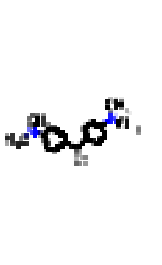 CCC(c1ccc(N(C)C)cc1)c1ccc(N(C)C)cc1